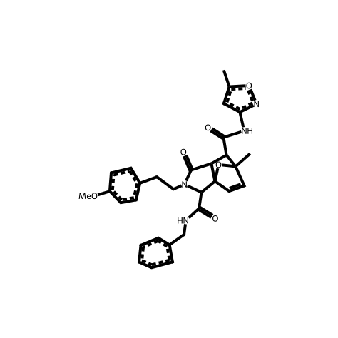 COc1ccc(CCN2C(=O)C3C(C(=O)Nc4cc(C)on4)C4(C)C=CC3(O4)C2C(=O)NCc2ccccc2)cc1